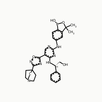 CC1(C)OB(O)c2ccc(Nc3ncc(-c4nc(C56CCN(CC5)CC6)no4)c(N[C@H](CO)c4ccccc4)n3)cc21